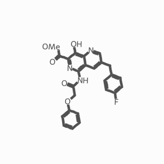 COC(=O)c1nc(NC(=O)COc2ccccc2)c2cc(Cc3ccc(F)cc3)cnc2c1O